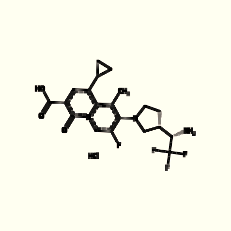 Cc1c(N2CC[C@H]([C@H](N)C(F)(F)F)C2)c(F)cn2c(=O)c(C(=O)O)cc(C3CC3)c12.Cl